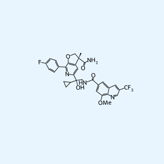 COc1cc(C(=O)NCC(O)(c2cc3c(c(-c4ccc(F)cc4)n2)OC[C@]3(C)C(N)=O)C2CC2)cc2cc(C(F)(F)F)cnc12